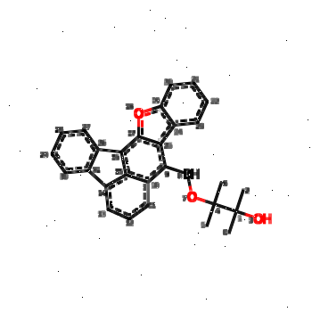 CC(C)(O)C(C)(C)OBc1c2cccc3c2c(c2oc4ccccc4c12)-c1ccccc1-3